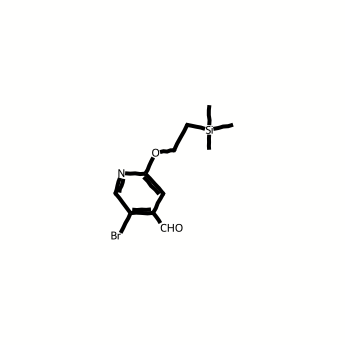 C[Si](C)(C)CCOc1cc(C=O)c(Br)cn1